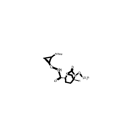 CNC1CC1ONC(=O)[C@@H]1CC[C@@H]2CN1C(=O)N2OS(=O)(=O)O